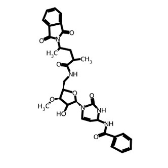 CO[C@@H]1C(O)[C@H](N2C=CC(NC(=O)c3ccccc3)NC2=O)O[C@@H]1CNC(=O)C(C)CC(C)N1C(=O)c2ccccc2C1=O